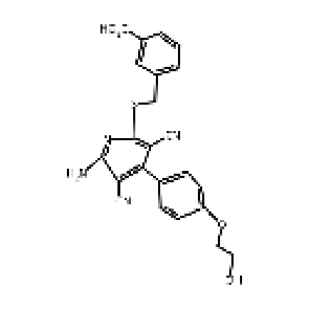 N#Cc1c(N)nc(SCc2cccc(C(=O)O)c2)c(C#N)c1-c1ccc(OCCO)cc1